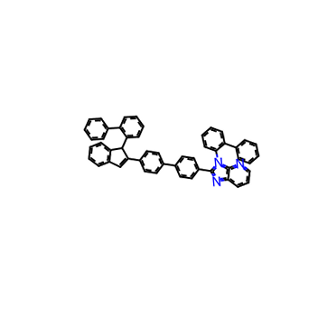 C1=C(c2ccc(-c3ccc(-c4nc5cccnc5n4-c4ccccc4-c4ccccc4)cc3)cc2)C(c2ccccc2-c2ccccc2)c2ccccc21